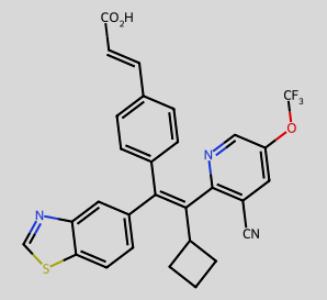 N#Cc1cc(OC(F)(F)F)cnc1/C(=C(\c1ccc(/C=C/C(=O)O)cc1)c1ccc2scnc2c1)C1CCC1